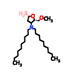 B[C@H]1CC(N(CCCCCCCCCC)CCCCCCCCCC)[C@@H](COC)O1